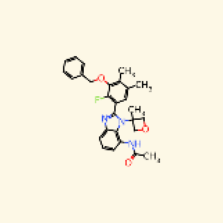 CC(=O)Nc1cccc2nc(-c3cc(C)c(C)c(OCc4ccccc4)c3F)n(C3(C)COC3)c12